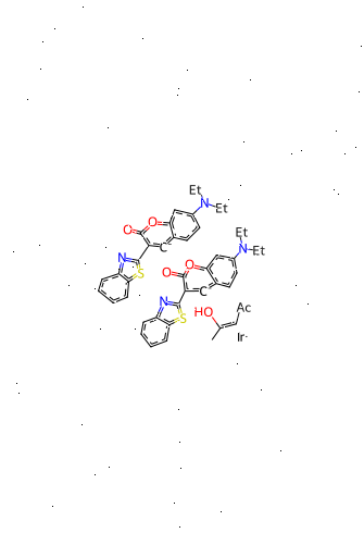 CC(=O)/C=C(/C)O.CCN(CC)c1ccc2[c-]c(-c3nc4ccccc4s3)c(=O)oc2c1.CCN(CC)c1ccc2[c-]c(-c3nc4ccccc4s3)c(=O)oc2c1.[Ir]